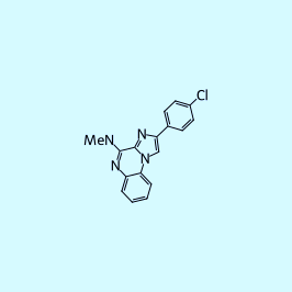 CNc1nc2ccccc2n2cc(-c3ccc(Cl)cc3)nc12